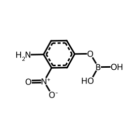 Nc1ccc(OB(O)O)cc1[N+](=O)[O-]